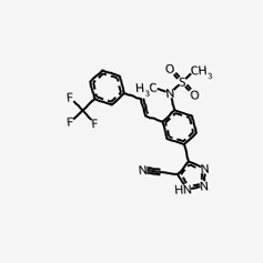 CN(c1ccc(-c2nn[nH]c2C#N)cc1/C=C/c1cccc(C(F)(F)F)c1)S(C)(=O)=O